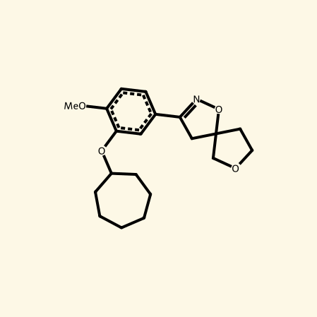 COc1ccc(C2=NOC3(CCOC3)C2)cc1OC1CCCCCC1